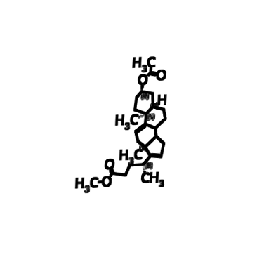 COC(=O)CC[C@@H](C)C1=CCC2C3CC[C@@H]4C[C@H](OC(C)=O)CC[C@]4(C)C3=CC[C@]12C